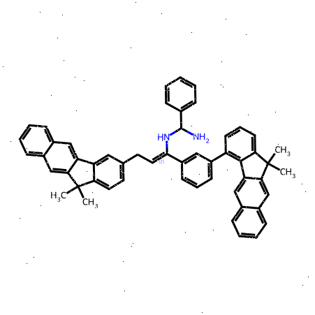 CC1(C)c2ccc(C/C=C(\NC(N)c3ccccc3)c3cccc(-c4cccc5c4-c4cc6ccccc6cc4C5(C)C)c3)cc2-c2cc3ccccc3cc21